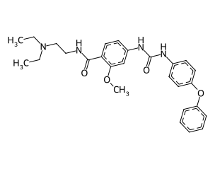 CCN(CC)CCNC(=O)c1ccc(NC(=O)Nc2ccc(Oc3ccccc3)cc2)cc1OC